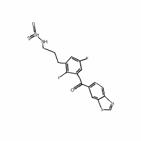 O=C(c1ccc2ncsc2c1)c1cc(F)cc(CCCN[SH](=O)=O)c1F